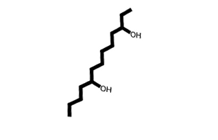 CCCCC(O)CCCCCC(O)CC